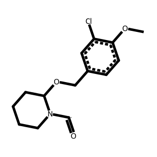 COc1ccc(COC2CCCCN2[C]=O)cc1Cl